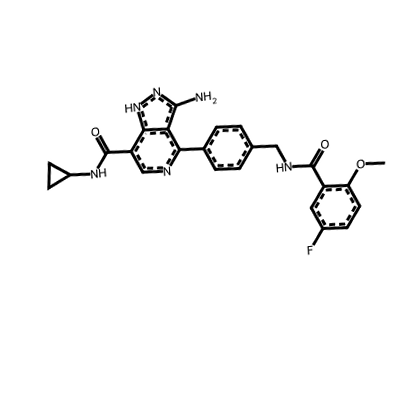 COc1ccc(F)cc1C(=O)NCc1ccc(-c2ncc(C(=O)NC3CC3)c3[nH]nc(N)c23)cc1